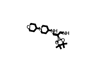 CC1(C)OB(/C(C=N)=C/NC2CCN(C3CCOCC3)CC2)OC1(C)C